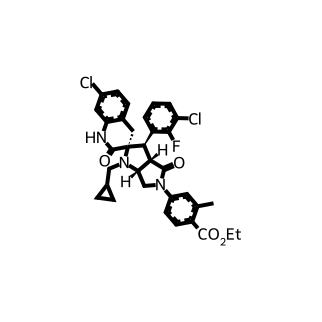 CCOC(=O)c1ccc(N2C[C@H]3[C@@H](C2=O)[C@H](c2cccc(Cl)c2F)[C@@]2(Cc4ccc(Cl)cc4NC2=O)N3CC2CC2)cc1C